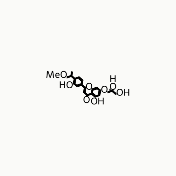 COCC(C)c1ccc(-c2cc(=O)c3c(O)cc(OC[C@H](O)CO)cc3o2)cc1O